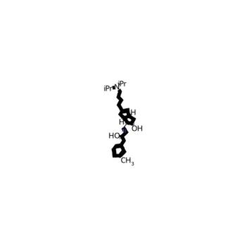 Cc1cccc(C[C@@H](O)/C=C/[C@@H]2[C@H]3CC(CCCCN(C(C)C)C(C)C)=C[C@H]3C[C@H]2O)c1